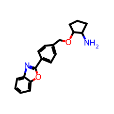 NC1CCCC1OCc1ccc(-c2nc3ccccc3o2)cc1